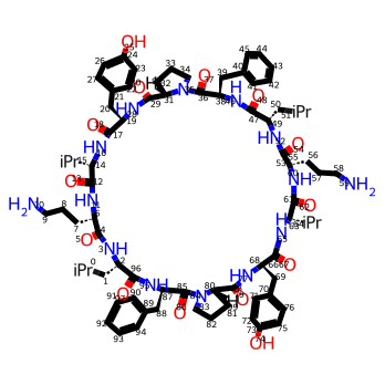 CC(C)C[C@@H]1NC(=O)[C@H](CCCN)NC(=O)[C@H](C(C)C)NC(=O)[C@@H](Cc2ccc(O)cc2)NC(=O)[C@@H]2CCCN2C(=O)[C@@H](Cc2ccccc2)NC(=O)[C@H](CC(C)C)NC(=O)[C@H](CCCN)NC(=O)[C@H](C(C)C)NC(=O)[C@@H](Cc2ccc(O)cc2)NC(=O)[C@@H]2CCCN2C(=O)[C@@H](Cc2ccccc2)NC1=O